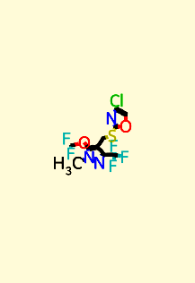 Cn1nc(C(F)(F)F)c(CSc2nc(Cl)co2)c1OC(F)F